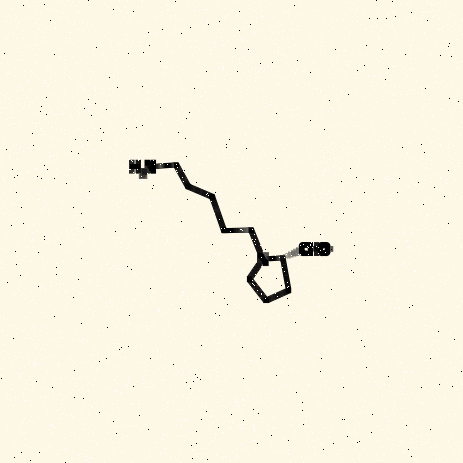 NCCCCCN1CCC[C@H]1[C]=O